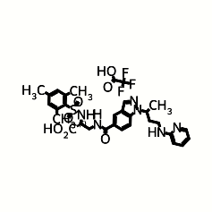 Cc1cc(C)c(S(=O)(=O)N[C@@H](CNC(=O)c2ccc3c(cnn3C(C)CCNc3ccccn3)c2)C(=O)O)c(C)c1.O=C(O)C(F)(F)F